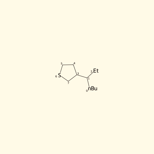 CCCCC(CC)C1CCSC1